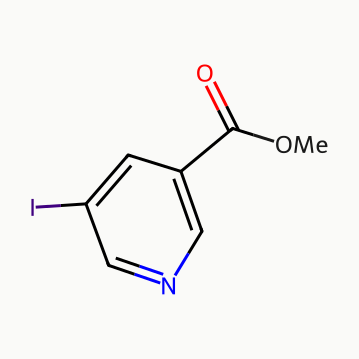 COC(=O)c1cncc(I)c1